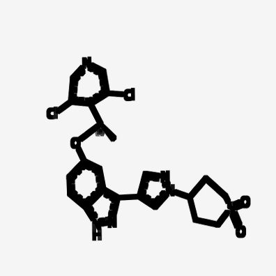 C[C@@H](Oc1ccc2[nH]nc(-c3cnn(C4CCS(=O)(=O)CC4)c3)c2c1)c1c(Cl)cncc1Cl